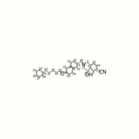 N#Cc1ccc(CN(CCO)Cc2ccc3cc(OCCCCCc4ccccc4)ccc3c2)cc1